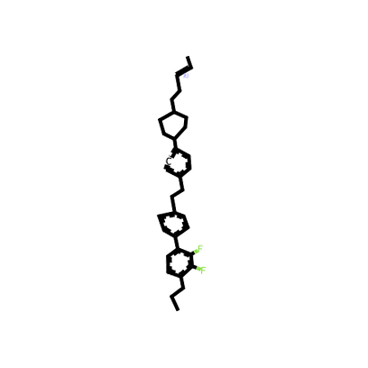 C/C=C/CCC1CCC(c2ccc(CCc3ccc(-c4ccc(CCC)c(F)c4F)cc3)cc2)CC1